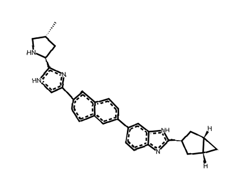 C[C@H]1CN[C@H](c2nc(-c3ccc4cc(-c5ccc6nc([C@H]7C[C@@H]8C[C@@H]8C7)[nH]c6c5)ccc4c3)c[nH]2)C1